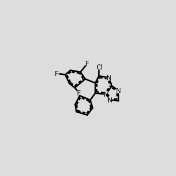 Fc1cc(F)c(-c2c(Cl)nc3ncnn3c2-c2ccccc2)c(F)c1